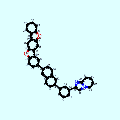 c1cc(-c2ccc3cc(-c4ccc5oc6cc7c(cc6c5c4)oc4ccccc47)ccc3c2)cc(-c2cn3ccccc3n2)c1